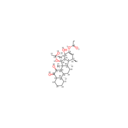 CC(=O)OC1=C[C@@H](C)C2[C@@H]([C@H](OC(C)=O)C3[C@@H]4C(=O)C(=O)C5CCCC[C@]5(C)C4CC[C@@]32C)[C@@]1(C)O